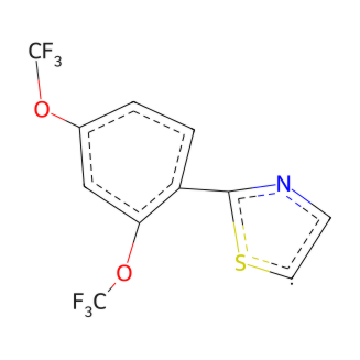 FC(F)(F)Oc1ccc(-c2nc[c]s2)c(OC(F)(F)F)c1